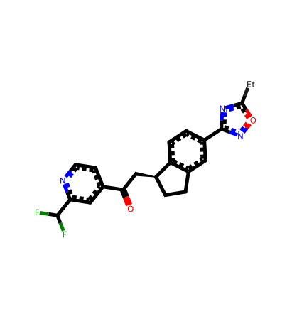 CCc1nc(-c2ccc3c(c2)CC[C@H]3CC(=O)c2ccnc(C(F)F)c2)no1